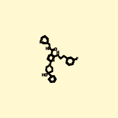 O=C(NCc1cccnc1)c1ccc(N2CCC(O)(c3ccccc3)CC2)nc1NCCc1cccc(F)c1